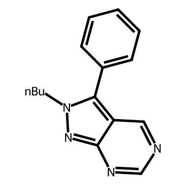 CCCCn1nc2ncncc2c1-c1ccccc1